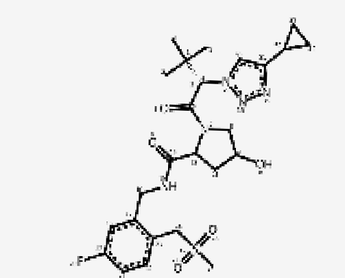 CC(C)(C)[C@@H](C(=O)N1CC(O)CC1C(=O)NCc1cc(F)ccc1CS(C)(=O)=O)n1cc(C2CC2)nn1